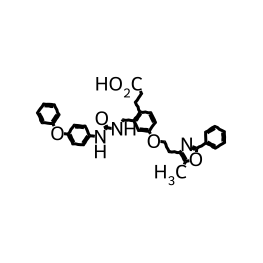 Cc1oc(-c2ccccc2)nc1CCOc1ccc(CCC(=O)O)c(CNC(=O)Nc2ccc(Oc3ccccc3)cc2)c1